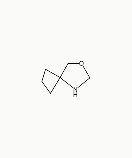 C1CC2(C1)COCN2